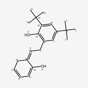 CC(C)(C)c1cc(CN=C2CC=CC=C2O)c(O)c(C(C)(C)C)c1